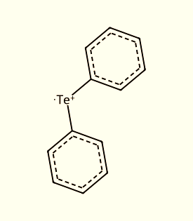 c1ccc([Te+]c2ccccc2)cc1